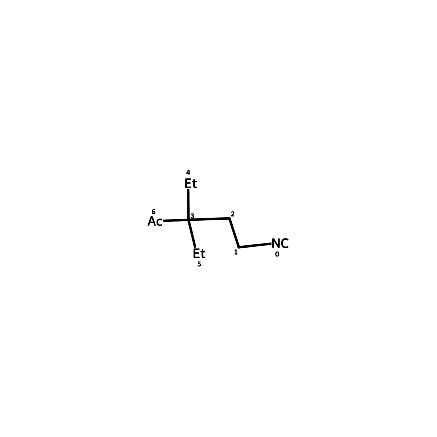 [C-]#[N+]CCC(CC)(CC)C(C)=O